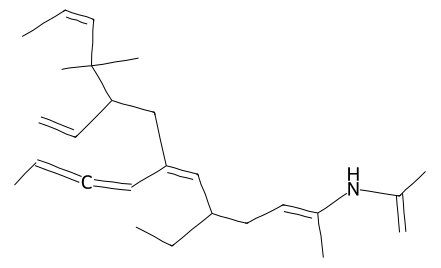 C=CC(CC(C=C=CC)=CC(CC)C/C=C(\C)NC(=C)C)C(C)(C)/C=C\C